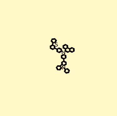 c1ccc(-n2c3ccccc3c3cc(-c4ccc(N(c5ccc(-c6cccc7c6sc6ccccc67)cc5)c5cc6ccccc6c6ccccc56)cc4)ccc32)cc1